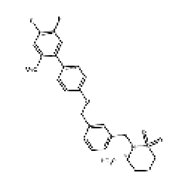 COc1cc(F)c(F)cc1-c1ccc(OCc2cccc(CN3[C@@H](C(=O)O)CCCS3(=O)=O)c2)cc1